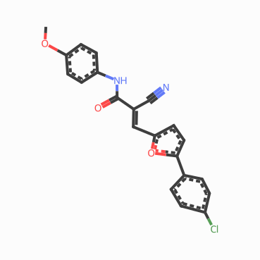 COc1ccc(NC(=O)/C(C#N)=C/c2ccc(-c3ccc(Cl)cc3)o2)cc1